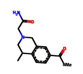 CNC(=O)c1ccc2c(c1)CN(CC(N)=O)CC2C